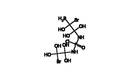 BC(O)(Br)C(O)(O)NP(=O)(Cl)NC(O)(O)C(O)(O)Br